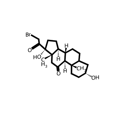 C[C@]12CC[C@@H](O)CC1CC[C@@H]1[C@@H]2C(=O)C[C@@]2(C)[C@H]1CC[C@]2(O)C(=O)CBr